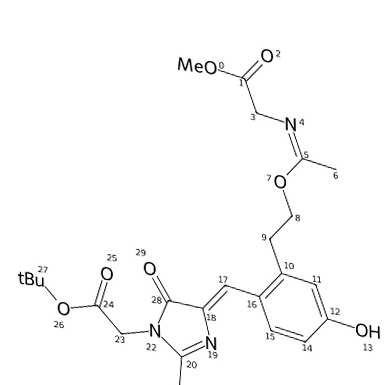 COC(=O)C/N=C(/C)OCCc1cc(O)ccc1/C=C1\N=C(C)N(CC(=O)OC(C)(C)C)C1=O